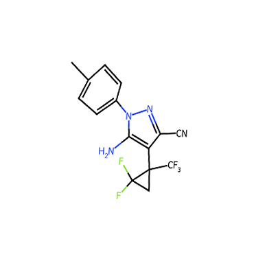 Cc1ccc(-n2nc(C#N)c(C3(C(F)(F)F)CC3(F)F)c2N)cc1